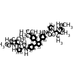 COC(=O)N[C@H](C(=O)N1CCC[C@H]1C(=O)Nc1ccc(C2CCC(c3ccc(NC(=O)[C@@H]4CCCN4C(=O)[C@@H](NC(=O)OC)C(C)C)cc3)C2c2ccc(C(C)(C)C)cc2)cc1)C(C)C